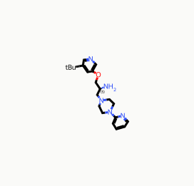 CC(C)(C)c1cncc(OC[C@@H](N)CN2CCN(c3ccccn3)CC2)c1